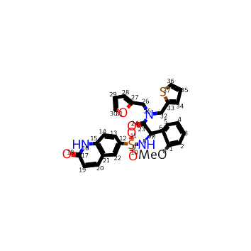 COc1ccccc1[C@@H](NS(=O)(=O)c1ccc2[nH]c(=O)ccc2c1)C(=O)N(Cc1ccco1)Cc1cccs1